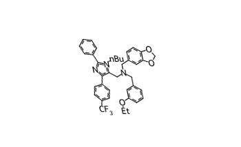 CCCCn1c(-c2ccccc2)nc(-c2ccc(C(F)(F)F)cc2)c1CN(Cc1cccc(OCC)c1)Cc1ccc2c(c1)OCO2